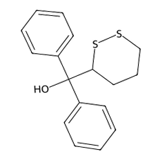 OC(c1ccccc1)(c1ccccc1)C1CCCSS1